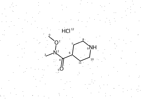 CON(C)C(=O)C1CCNCC1.Cl